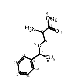 COC(=O)C(N)CO[C@@H](C)c1ccccc1